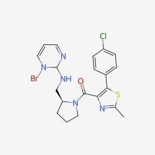 Cc1nc(C(=O)N2CCC[C@H]2CNC2N=CC=CN2Br)c(-c2ccc(Cl)cc2)s1